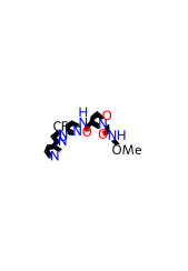 COCCNC(=O)Cn1cc(C(=O)Nc2ccc(-n3nc(-c4cccnc4)cc3C(F)(F)F)cn2)ccc1=O